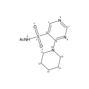 CC(=O)NS(=O)(=O)c1cn[c]nc1N1CCCCC1